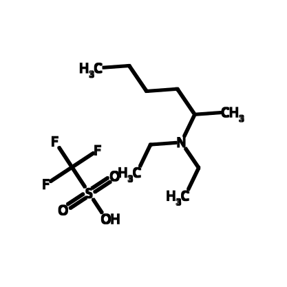 CCCCC(C)N(CC)CC.O=S(=O)(O)C(F)(F)F